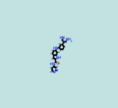 N=C/C(=C\N)c1cccc(Nc2ccc3cc(C(=O)Nc4ccnnc4)[nH]c3c2)c1